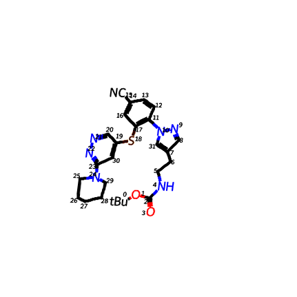 CC(C)(C)OC(=O)NCCc1cnn(-c2ccc(C#N)cc2Sc2cnnc(N3CCCCC3)c2)c1